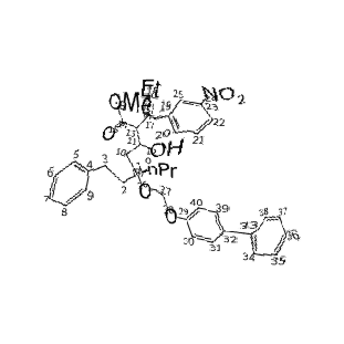 CCC[C@@](CCc1ccccc1)(CC(O)C(C(=O)OC)[C@H](CC)c1cccc([N+](=O)[O-])c1)OCOc1ccc(-c2ccccc2)cc1